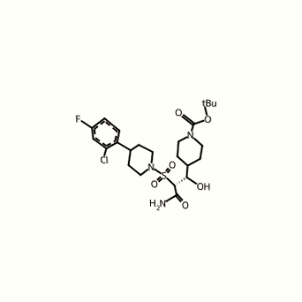 CC(C)(C)OC(=O)N1CCC(C(O)[C@H](C(N)=O)S(=O)(=O)N2CCC(c3ccc(F)cc3Cl)CC2)CC1